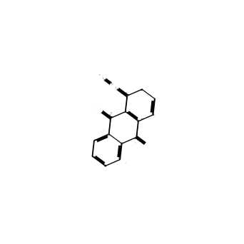 [N-]=[N+]=C1CC=CC2=C1C(=O)c1ccccc1C2=O